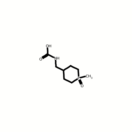 CP1(=O)CCC(CNC(=O)O)CC1